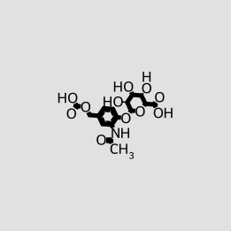 CC(=O)Nc1cc(COC(=O)O)ccc1OC1OC(C(=O)O)[C@@H](O)C(O)[C@H]1O